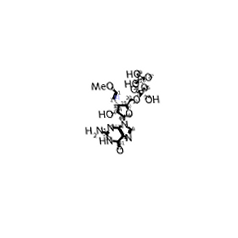 CO/C=C/[C@H]1[C@@H](O)[C@H](n2cnc3c(=O)[nH]c(N)nc32)O[C@@H]1COP(=O)(O)OP(=O)(O)O